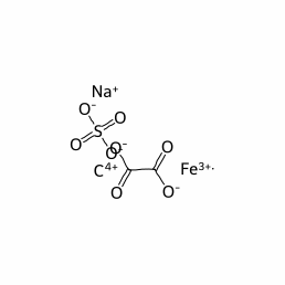 O=C([O-])C(=O)[O-].O=S(=O)([O-])[O-].[C+4].[Fe+3].[Na+]